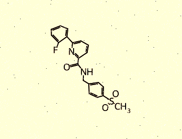 CS(=O)(=O)c1ccc(CNC(=O)c2cccc(-c3ccccc3F)n2)cc1